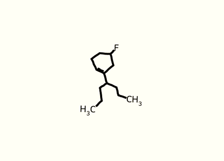 CCCC(CCC)C1=CCCC(F)C1